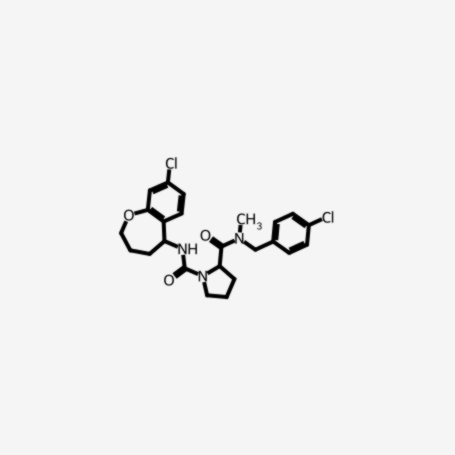 CN(Cc1ccc(Cl)cc1)C(=O)C1CCCN1C(=O)NC1CCCOc2cc(Cl)ccc21